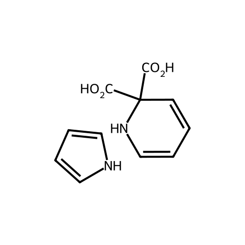 O=C(O)C1(C(=O)O)C=CC=CN1.c1cc[nH]c1